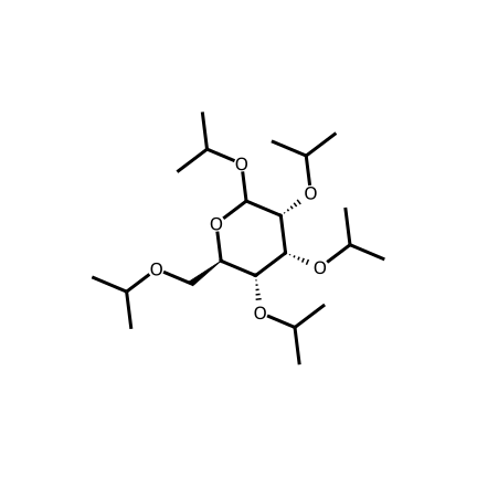 CC(C)OC[C@H]1OC(OC(C)C)[C@H](OC(C)C)[C@H](OC(C)C)[C@@H]1OC(C)C